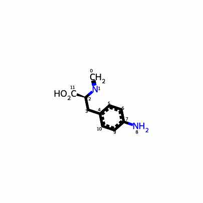 C=N[C@@H](Cc1ccc(N)cc1)C(=O)O